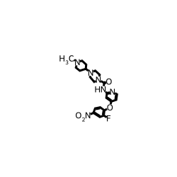 CN1CCC(N2CCN(C(=O)Nc3cc(Oc4ccc([N+](=O)[O-])cc4F)ccn3)CC2)CC1